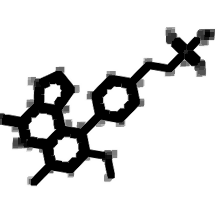 COc1cc(C)c2[nH]c(=O)c3sccc3c2c1-c1ccc(CCS(=O)(=O)O)cc1